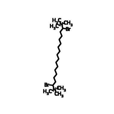 C[N+](C)(C)C(Br)CCCCCCCCCCCCCCC(Br)[N+](C)(C)C